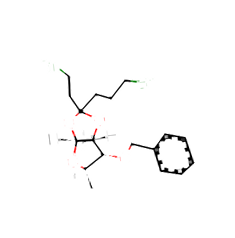 C[C@H]1O[C@@H]2OC(CCBr)(CCCBr)O[C@@H]2[C@H]1OCc1ccccc1